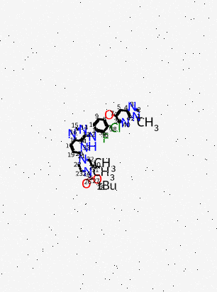 Cn1cnc2cc(Oc3ccc(Nc4ncnc5ccc(N6CCN(C(=O)OC(C)(C)C)C(C)(C)C6)nc45)c(F)c3Cl)cnc21